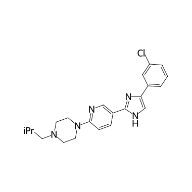 CC(C)CN1CCN(c2ccc(-c3nc(-c4cccc(Cl)c4)c[nH]3)cn2)CC1